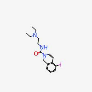 CCN(CC)CCNC(=O)N1C=Cc2c(I)cccc2C1